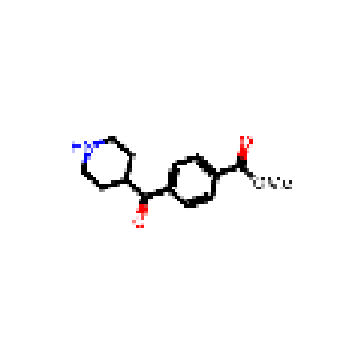 COC(=O)c1ccc(C(=O)C2CCNCC2)cc1